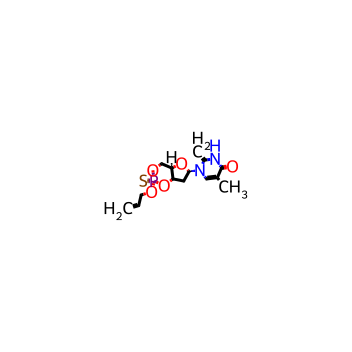 C=CCOP1(=S)OC[C@H]2O[C@@H](N3C=C(C)C(=O)NC3=C)CC2O1